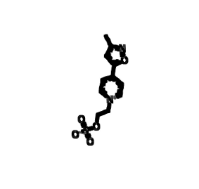 Cc1cc(-c2cc[n+](CCOS(=O)(=O)[O-])cc2)on1